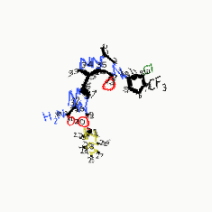 CC1CN(c2ccc(C(F)(F)F)c(Cl)c2)C(=O)c2c(-c3cn(COCC[SH](C)(C)(C)C)c(C(N)=O)n3)cnn21